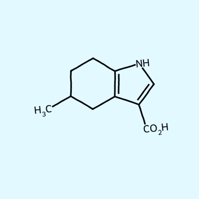 CC1CCc2[nH]cc(C(=O)O)c2C1